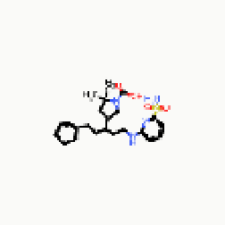 CC1(C)CC(C(CCNc2cccc(S(N)(=O)=O)n2)CCc2ccccc2)CN1C(=O)O